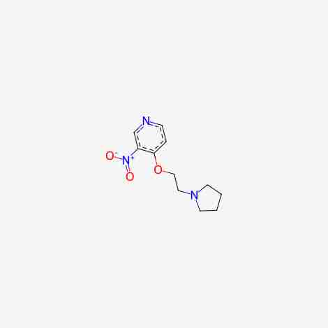 O=[N+]([O-])c1cnccc1OCCN1CCCC1